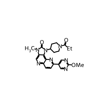 CCC(=O)N1CCC(n2c(=O)n(C)c3cnc4ccc(-c5cnc(OC)nc5)nc4c32)CC1